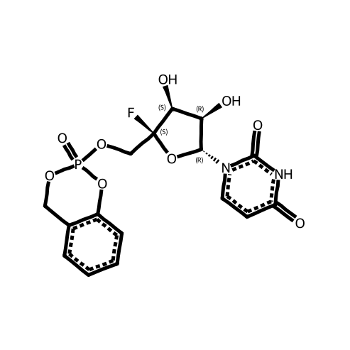 O=c1ccn([C@@H]2O[C@](F)(COP3(=O)OCc4ccccc4O3)[C@@H](O)[C@H]2O)c(=O)[nH]1